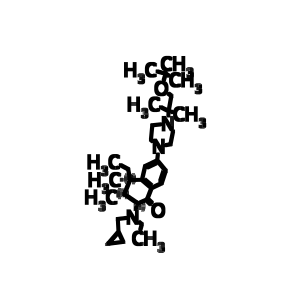 CCN(CC1CC1)[C@@H]1C(=O)c2ccc(N3CCN(C(C)(C)COC(C)(C)C)CC3)cc2[C@](C)(CC)[C@H]1C